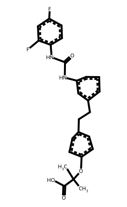 CC(C)(Oc1ccc(CCc2cccc(NC(=O)Nc3ccc(F)cc3F)c2)cc1)C(=O)O